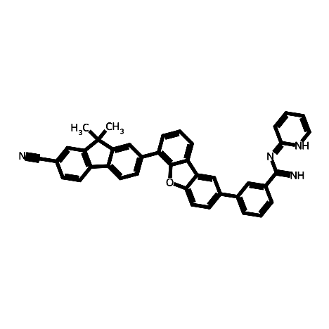 CC1(C)c2cc(C#N)ccc2-c2ccc(-c3cccc4c3oc3ccc(-c5cccc(C(=N)/N=c6/cccc[nH]6)c5)cc34)cc21